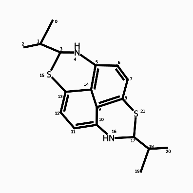 CC(C)C1Nc2ccc3c4c(ccc(c24)S1)NC(C(C)C)S3